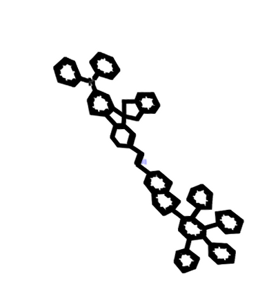 C1=C(/C=C/c2ccc3cc(-c4cc(-c5ccccc5)c(-c5ccccc5)c(-c5ccccc5)c4-c4ccccc4)ccc3c2)CCC2=C1C1(Cc3ccccc3C1)c1cc(N(c3ccccc3)c3ccccc3)ccc12